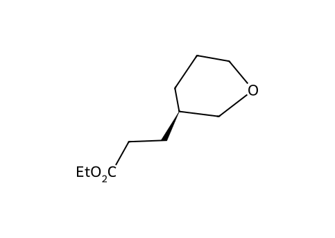 CCOC(=O)CC[C@H]1CCCOC1